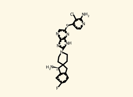 Nc1nccc(Sc2cnc3nc(N4CCC5(CC4)Cc4ccc(F)cc4[C@H]5N)[nH]c3n2)c1Cl